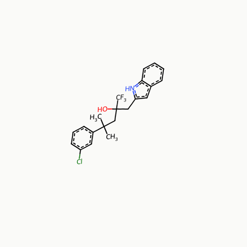 CC(C)(CC(O)(Cc1cc2ccccc2[nH]1)C(F)(F)F)c1cccc(Cl)c1